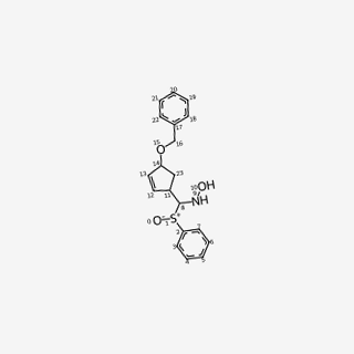 [O-][S+](c1ccccc1)C(NO)C1C=CC(OCc2ccccc2)C1